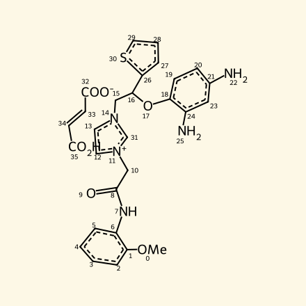 COc1ccccc1NC(=O)C[n+]1ccn(CC(Oc2ccc(N)cc2N)c2cccs2)c1.O=C([O-])C=CC(=O)O